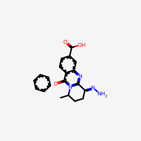 CC1CCC(=NN)c2nc3cc(C(=O)O)ccc3c(=O)n21.c1ccccc1